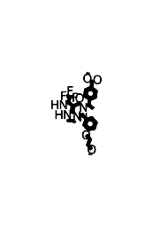 COCCOc1cccc(CN2CCN/C2=C(\C(=N)C(F)(F)F)C(=O)NC(C)c2ccc(C(=O)OC)cc2)c1